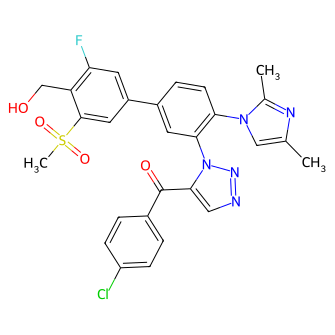 Cc1cn(-c2ccc(-c3cc(F)c(CO)c(S(C)(=O)=O)c3)cc2-n2nncc2C(=O)c2ccc(Cl)cc2)c(C)n1